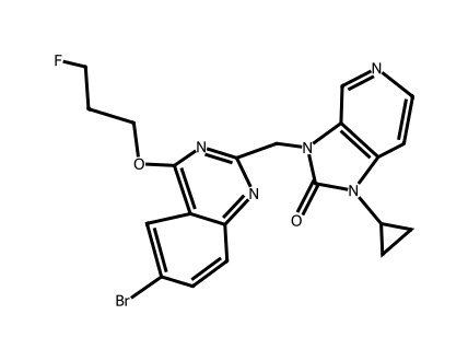 O=c1n(Cc2nc(OCCCF)c3cc(Br)ccc3n2)c2cnccc2n1C1CC1